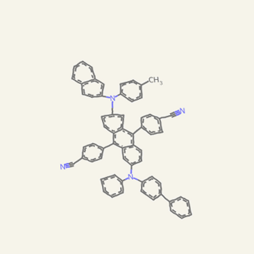 Cc1ccc(N(c2ccc3ccccc3c2)c2ccc3c(-c4ccc(C#N)cc4)c4cc(N(c5ccccc5)c5ccc(-c6ccccc6)cc5)ccc4c(-c4ccc(C#N)cc4)c3c2)cc1